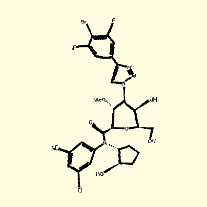 CO[C@@H]1[C@@H](n2cc(-c3cc(F)c(Br)c(F)c3)nn2)[C@@H](O)[C@@H](CO)O[C@H]1C(=O)N(c1cc(Cl)cc(C#N)c1)[C@@H]1CCC[C@H]1O